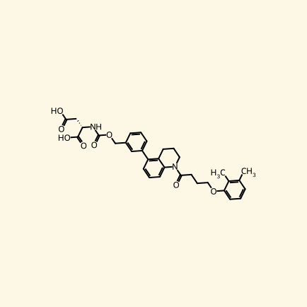 Cc1cccc(OCCCC(=O)N2CCCc3c(-c4cccc(COC(=O)N[C@@H](CC(=O)O)C(=O)O)c4)cccc32)c1C